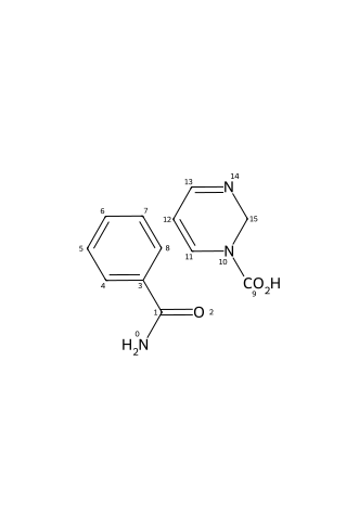 NC(=O)c1ccccc1.O=C(O)N1C=CC=NC1